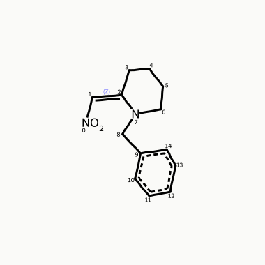 O=[N+]([O-])/C=C1/CCCCN1Cc1ccccc1